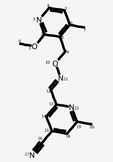 COc1nccc(C)c1CON=Cc1cc(C#N)cc(C)n1